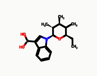 CC[C@H]1O[C@@H](n2cc(B(O)O)c3ccccc32)[C@H](C)[C@@H](C)C1C